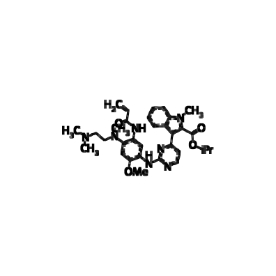 C=CC(=O)Nc1cc(Nc2nccc(-c3c(C(=O)OC(C)C)n(C)c4ccccc34)n2)c(OC)cc1N(C)CCN(C)C